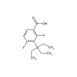 CC[Si](CC)(CC)c1c(F)ccc(C(=O)O)c1F